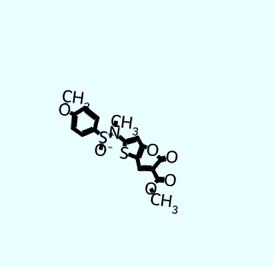 COC(=O)c1cc2sc(N(C)[S+]([O-])c3ccc(OC)cc3)cc2oc1=O